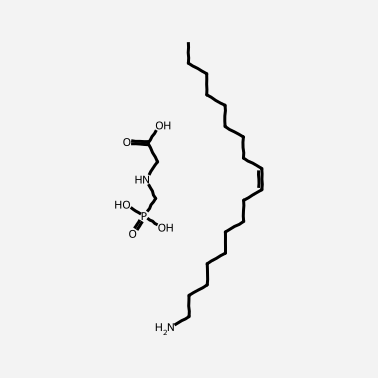 CCCCCCCC/C=C\CCCCCCCCN.O=C(O)CNCP(=O)(O)O